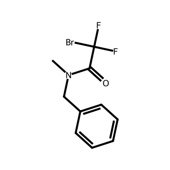 CN(Cc1ccccc1)C(=O)C(F)(F)Br